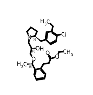 CCOC(=O)CCc1ccccc1[C@@H](C)OC[C@H](O)CN1CCC[C@H]1Cc1ccc(Cl)c(CC)c1